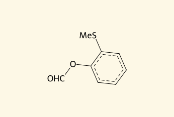 CSc1ccccc1OC=O